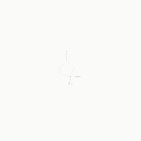 CC1(Br)CC(Br)=CS1